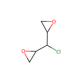 ClC(C1CO1)C1CO1